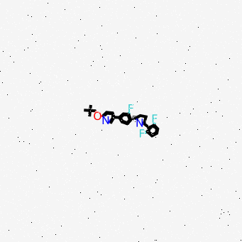 CC(C)(C)COc1ccc(-c2ccc([C@H]3CCC(c4c(F)cccc4F)=N3)c(F)c2)cn1